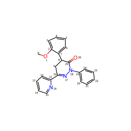 COc1ccccc1C1CC(c2ccccn2)=NN(c2ccccc2)C1=O